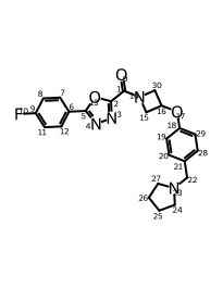 O=C(c1nnc(-c2ccc(F)cc2)o1)N1CC(Oc2ccc(CN3CCCC3)cc2)C1